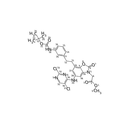 COC(=O)Cn1c(=O)oc2c(CCc3cccc(NC(=O)OC(C)(C)C)c3)cc(Nc3nc(Cl)ncc3Cl)cc21